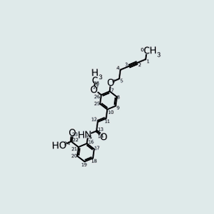 CCC#CCCOc1ccc(C=CC(=O)Nc2ccccc2C(=O)O)cc1OC